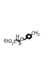 CCOC(=O)NC(=S)OCc1ccc(C)cc1